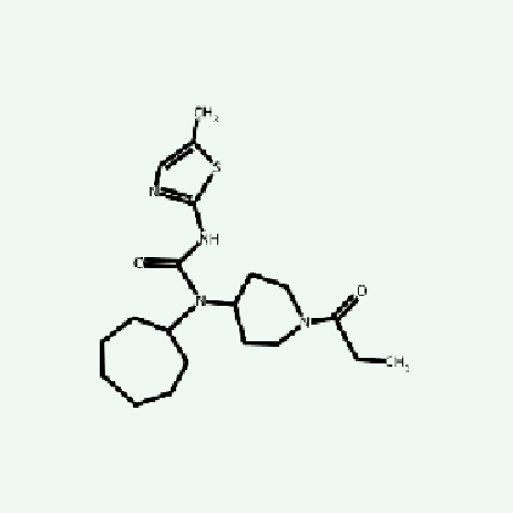 CCC(=O)N1CCC(N(C(=O)Nc2ncc(C)s2)C2CCCCCC2)CC1